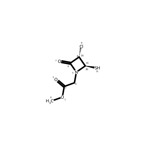 COC(=O)CN1C(=O)[C@H](Cl)[C@H]1S